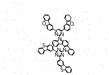 C1=Cc2c(oc3ccc(-c4cc(-c5ccc6oc7ccccc7c6c5)nc(-n5c6ccccc6c6c5ccc5c7ccccc7n(-c7nc(-c8ccc9sc%10ccccc%10c9c8)nc(-c8ccc9sc%10ccccc%10c9c8)n7)c56)n4)cc23)CC1